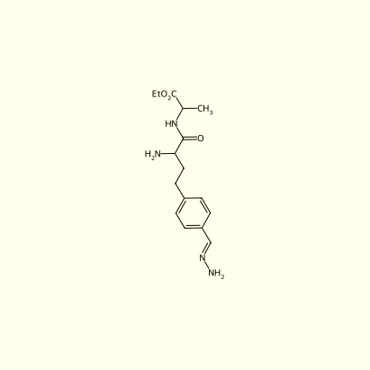 CCOC(=O)C(C)NC(=O)C(N)CCc1ccc(C=NN)cc1